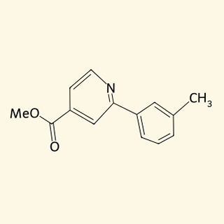 COC(=O)c1ccnc(-c2cccc(C)c2)c1